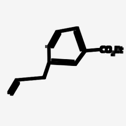 C=CCc1[c]ccc(C(=O)OCC)c1